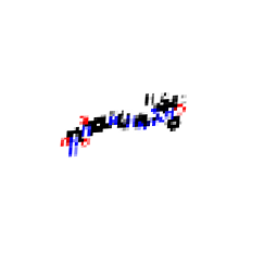 CC(=O)c1c(C)c2cnc(Nc3ccc(N4CCC(N(C)Cc5ccc6c(c5)CN(C5CCC(=O)NC5=O)C6=O)CC4)cn3)nc2n(C2CCCC2)c1=O